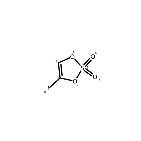 O=S1(=O)OC=C(I)O1